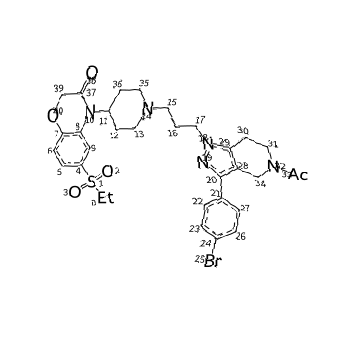 CCS(=O)(=O)c1ccc2c(c1)N(C1CCN(CCCn3nc(-c4ccc(Br)cc4)c4c3CCN(C(C)=O)C4)CC1)C(=O)CO2